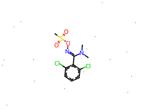 CN(C)C(=NOS(C)(=O)=O)c1c(Cl)cccc1Cl